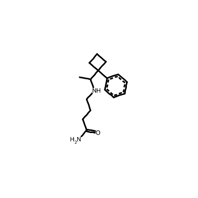 CC(NCCCC(N)=O)C1(c2ccccc2)CCC1